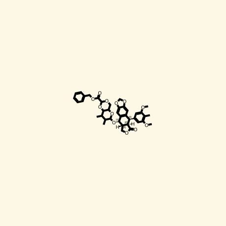 COc1cc([C@@H]2c3cc4c(cc3[C@@H](OC3OC5COC(C(=O)OCc6ccccc6)OC5C(C)C3C)[C@H]3COC(=O)[C@H]23)OCO4)cc(OC)c1C